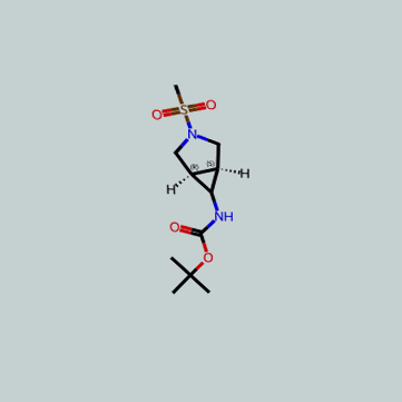 CC(C)(C)OC(=O)NC1[C@H]2CN(S(C)(=O)=O)C[C@@H]12